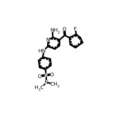 CN(C)S(=O)(=O)c1ccc(Nc2ccc(C(=O)c3ccccc3F)c(N)n2)cc1